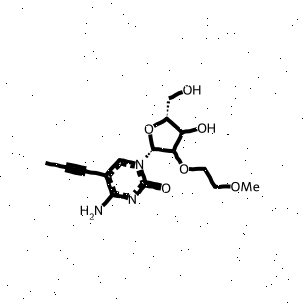 CC#Cc1cn([C@@H]2O[C@H](CO)C(O)C2OCCOC)c(=O)nc1N